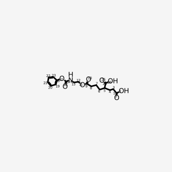 O=C(O)CCC(CCCC(=O)OCCNC(=O)Oc1ccccc1)C(=O)O